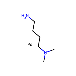 CN(C)CCCCN.[Pd]